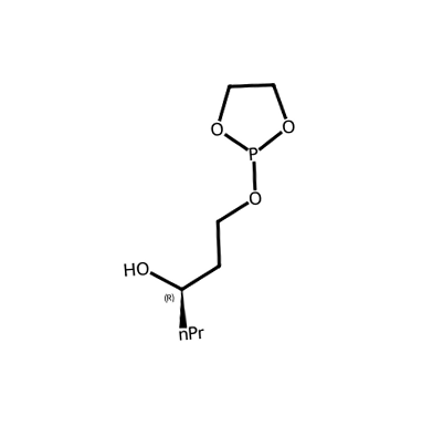 CCC[C@@H](O)CCOP1OCCO1